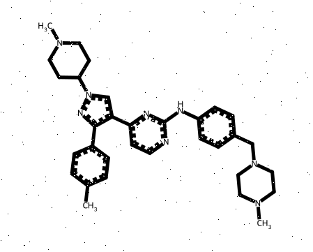 Cc1ccc(-c2nn(C3CCN(C)CC3)cc2-c2ccnc(Nc3ccc(CN4CCN(C)CC4)cc3)n2)cc1